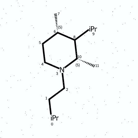 CC(C)CCN1CC[C@H](C)C(C(C)C)[C@@H]1C